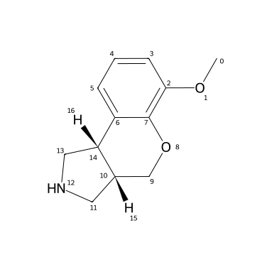 COc1cccc2c1OC[C@@H]1CNC[C@H]21